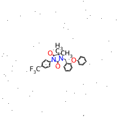 CC1(C)C(=O)N(c2ccc(C(F)(F)F)cc2)C(=O)N1Cc1ccccc1Oc1ccccc1